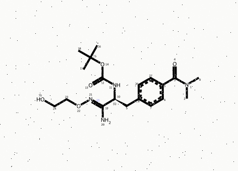 CN(C)C(=O)c1ccc(C[C@H](NC(=O)OC(C)(C)C)/C(N)=N/OCCO)cc1